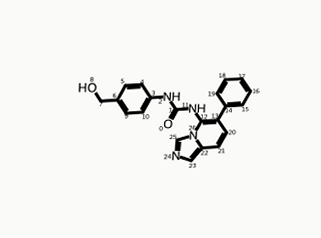 O=C(Nc1ccc(CO)cc1)Nc1c(-c2ccccc2)ccc2cncn12